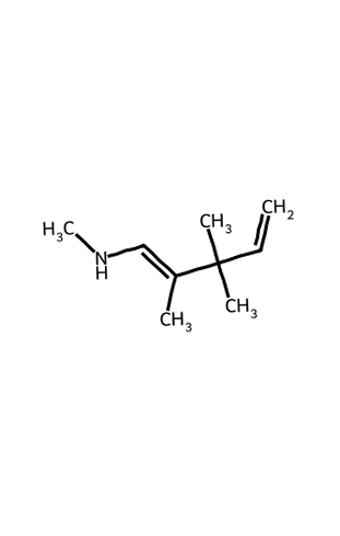 C=CC(C)(C)/C(C)=C/NC